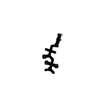 CN(C)S(=O)(=O)CC(=O)C(C)(C)CN=[N+]=[N-]